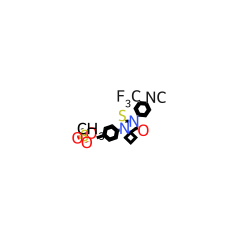 [C-]#[N+]c1ccc(N2C(=O)C3(CCC3)N(c3ccc(COS(C)(=O)=O)cc3)C2=S)cc1C(F)(F)F